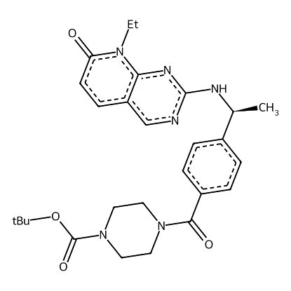 CCn1c(=O)ccc2cnc(N[C@@H](C)c3ccc(C(=O)N4CCN(C(=O)OC(C)(C)C)CC4)cc3)nc21